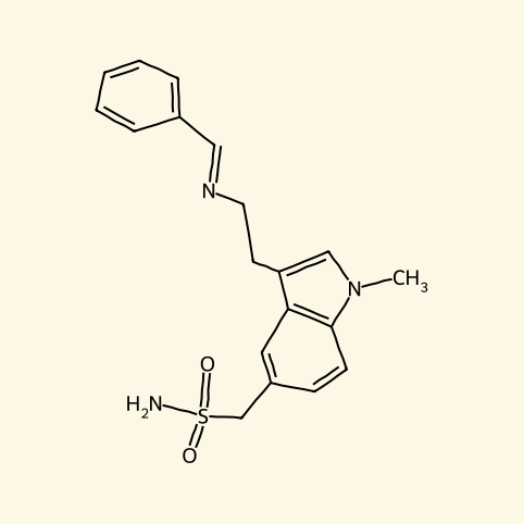 Cn1cc(CCN=Cc2ccccc2)c2cc(CS(N)(=O)=O)ccc21